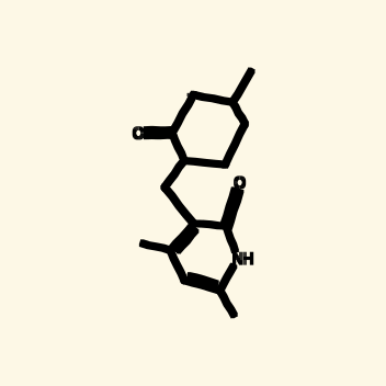 Cc1cc(C)c(CC2CCC(C)[CH]C2=O)c(=O)[nH]1